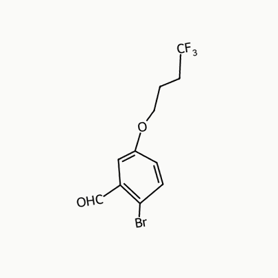 O=Cc1cc(OCCCC(F)(F)F)ccc1Br